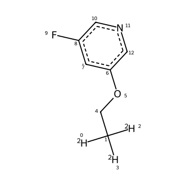 [2H]C([2H])([2H])COc1[c]c(F)cnc1